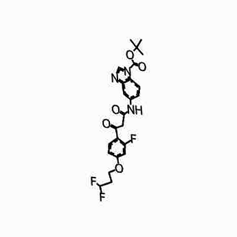 CC(C)(C)OC(=O)n1cnc2cc(NC(=O)CC(=O)c3ccc(OCCC(F)F)cc3F)ccc21